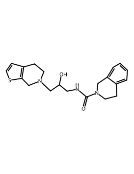 O=C(NCC(O)CN1CCc2ccsc2C1)N1CCc2ccccc2C1